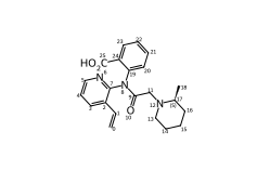 C=Cc1cccnc1N(C(=O)CN1CCCC[C@@H]1C)c1ccccc1C(=O)O